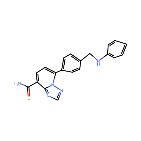 NC(=O)c1ccc(-c2ccc(CNc3ccccc3)cc2)n2n[c]nc12